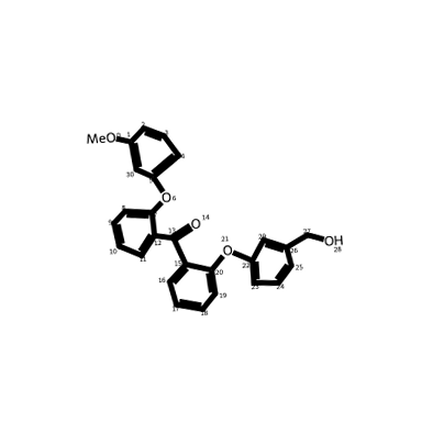 COc1cccc(Oc2ccccc2C(=O)c2ccccc2Oc2cccc(CO)c2)c1